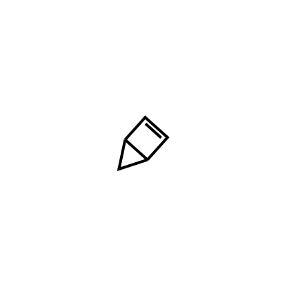 C1=CC2CC12